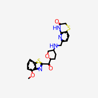 COc1cccc2sc(C(=O)C3CCC(NCc4ccc5c(n4)NC(=O)CS5)CO3)nc12